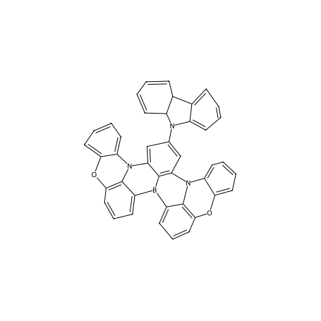 C1=CC2c3ccccc3N(c3cc4c5c(c3)N3c6ccccc6Oc6cccc(c63)B5c3cccc5c3N4c3ccccc3O5)C2C=C1